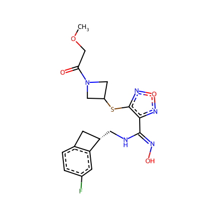 COCC(=O)N1CC(Sc2nonc2/C(=N/O)NC[C@H]2Cc3ccc(F)cc32)C1